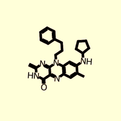 C=c1nc2c(c(=O)[nH]1)=Nc1cc(C)c(NC3CCCC3)cc1N2CCCc1ccccc1